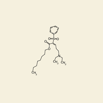 CCCCCCCCOC(=O)/C(=C\CCN(CC)CC)S(=O)(=O)c1ccccc1